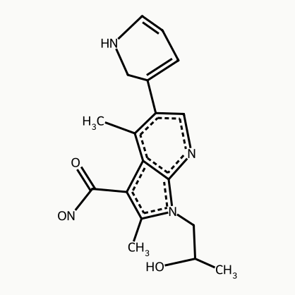 Cc1c(C2=CC=CNC2)cnc2c1c(C(=O)N=O)c(C)n2CC(C)O